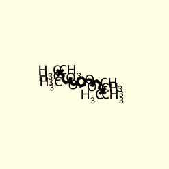 CC(CC(=O)OC1CCC(OC(=O)CC(C)CC(C)(C)C)CC1)CC(C)(C)C